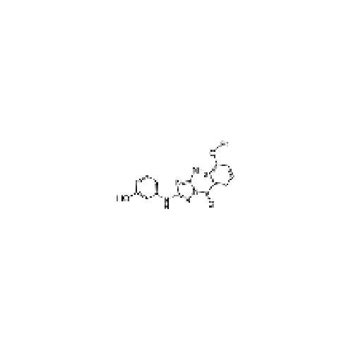 CC(C)Oc1cccc(C(=O)n2nc(Nc3cccc(O)c3)nc2N)c1